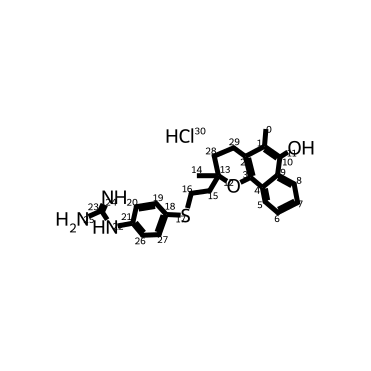 Cc1c2c(c3ccccc3c1O)OC(C)(CCSc1ccc(NC(=N)N)cc1)CC2.Cl